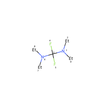 CCN(CC)C(F)(F)N(CC)CC